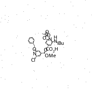 CCC(C)Nc1cc(C(=O)O)cc(OS(C)(=O)=O)n1.COC(=O)c1cc(Cl)nc(OCc2ccccc2)c1